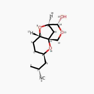 [C-]#[N+][C@H](C)C[C@H]1CC[C@@H]2O[C@@H]3C[C@]2(CO[C@H]3O)O1